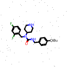 CC(C)COc1ccc(CNC(=O)N(Cc2ccc(F)cc2F)C2CCNCC2)cc1